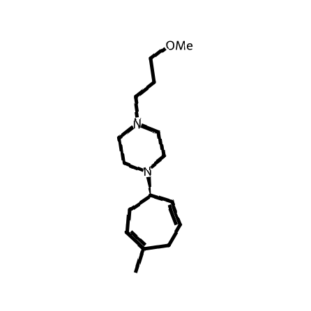 COCCCN1CCN([C@H]2C=CCC(C)=CC2)CC1